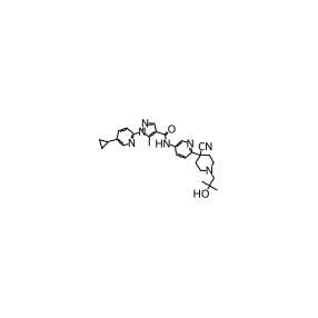 Cc1c(C(=O)Nc2ccc(C3(C#N)CCN(CC(C)(C)O)CC3)nc2)cnn1-c1ccc(C2CC2)cn1